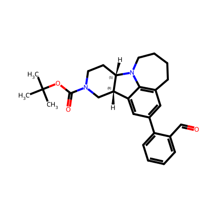 CC(C)(C)OC(=O)N1CC[C@H]2[C@@H](C1)c1cc(-c3ccccc3C=O)cc3c1N2CCCC3